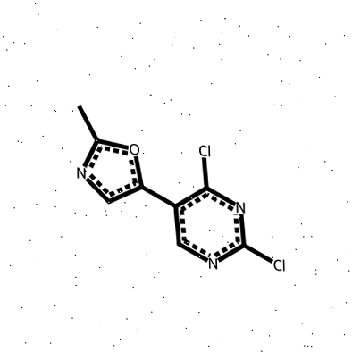 Cc1ncc(-c2cnc(Cl)nc2Cl)o1